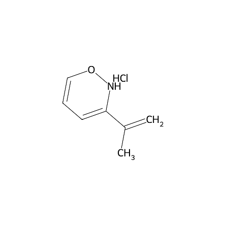 C=C(C)C1=CC=CON1.Cl